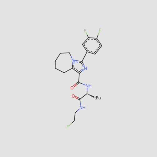 CC(C)(C)[C@H](NC(=O)c1nc(-c2ccc(F)c(F)c2)n2c1CCCCC2)C(=O)NCCF